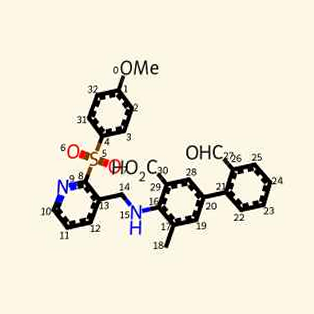 COc1ccc(S(=O)(=O)c2ncccc2CNc2c(C)cc(-c3ccccc3C=O)cc2C(=O)O)cc1